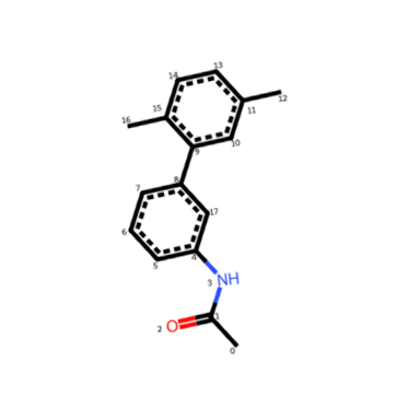 CC(=O)Nc1cccc(-c2cc(C)ccc2C)c1